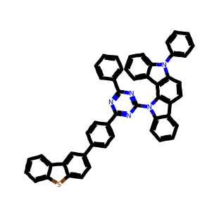 c1ccc(-c2nc(-c3ccc(-c4ccc5sc6ccccc6c5c4)cc3)nc(-n3c4ccccc4c4ccc5c(c6ccccc6n5-c5ccccc5)c43)n2)cc1